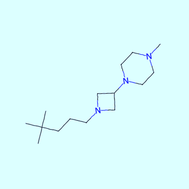 CN1CCN(C2CN(CCCC(C)(C)C)C2)CC1